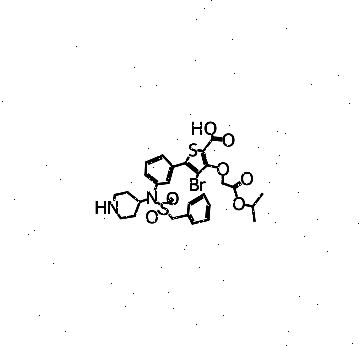 CC(C)OC(=O)COc1c(C(=O)O)sc(-c2cccc(N(C3CCNCC3)S(=O)(=O)Cc3ccccc3)c2)c1Br